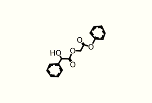 O=C(COC(=O)C(O)c1ccccc1)Oc1ccccc1